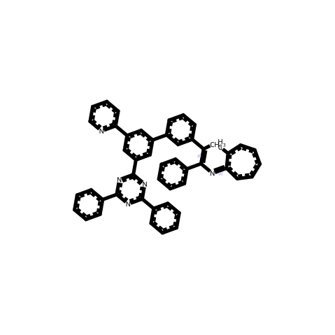 C/C(=C(\N=c1\cccccc1C)c1ccccc1)c1cccc(-c2cc(-c3ccccn3)cc(-c3nc(-c4ccccc4)nc(-c4ccccc4)n3)c2)c1